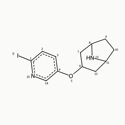 Ic1ccc(OC2CC3CCC(C2)N3)cn1